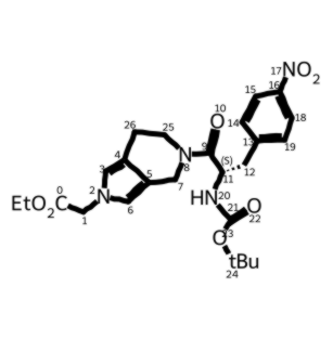 CCOC(=O)Cn1cc2c(c1)CN(C(=O)[C@H](Cc1ccc([N+](=O)[O-])cc1)NC(=O)OC(C)(C)C)CC2